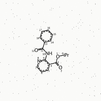 CC(C)OC(=O)c1cccnc1NC(=O)c1ccccc1